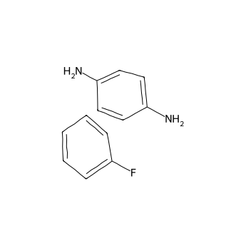 Fc1ccccc1.Nc1ccc(N)cc1